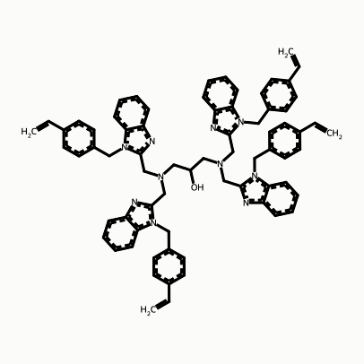 C=Cc1ccc(Cn2c(CN(Cc3nc4ccccc4n3Cc3ccc(C=C)cc3)CC(O)CN(Cc3nc4ccccc4n3Cc3ccc(C=C)cc3)Cc3nc4ccccc4n3Cc3ccc(C=C)cc3)nc3ccccc32)cc1